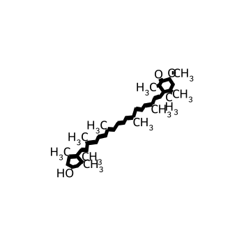 CO[C@H]1CC(C)(C)C(/C=C/C(C)=C/C=C/C(C)=C/C=C/C=C(C)/C=C/C=C(C)/C=C/C2=C(C)C[C@@H](O)CC2(C)C)C(C)C1=O